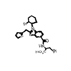 CCC1CCCCC1n1c(Cc2cccs2)nc2cc(C(=O)NC(CC(C)C)C(=O)O)ccc21